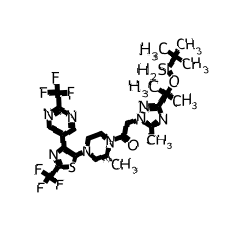 Cc1nc(C(C)(C)O[SiH2]C(C)(C)C)nn1CC(=O)N1CCN(c2sc(C(F)(F)F)nc2-c2cnc(C(F)(F)F)nc2)C[C@H]1C